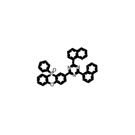 O=P1(c2ccccc2)c2ccccc2Oc2ccc(-c3nc(-c4cccc5ccccc45)nc(-c4cccc5ccccc45)n3)cc21